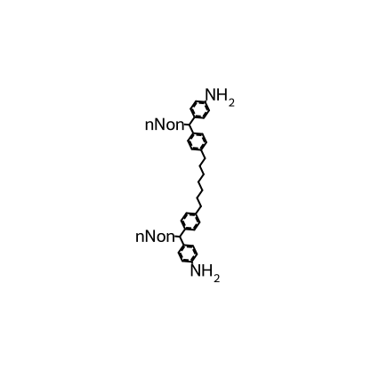 CCCCCCCCCC(c1ccc(N)cc1)c1ccc(CCCCCCCc2ccc(C(CCCCCCCCC)c3ccc(N)cc3)cc2)cc1